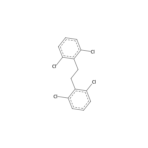 Clc1cccc(Cl)c1CCc1c(Cl)cccc1Cl